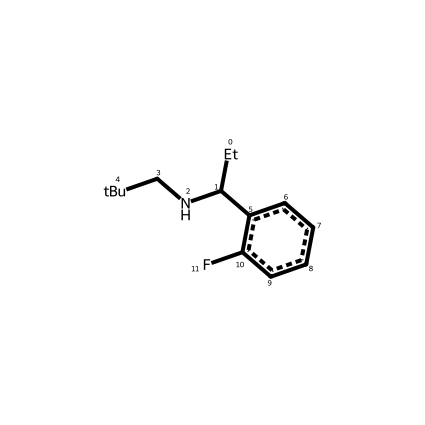 CCC(NCC(C)(C)C)c1ccccc1F